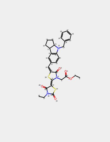 CCOC(=O)Cn1c(=O)/c(=C\c2ccc3c(c2)C2CCCC2N3Cc2ccccc2)s/c1=C1/SC(=O)N(CC)C1=O